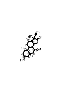 C#C[C@]1(O)C(=O)CC2C3C(CC[C@@]21C)[C@@]1(C)CC[C@H](O)C[C@H]1C[C@@H]3O